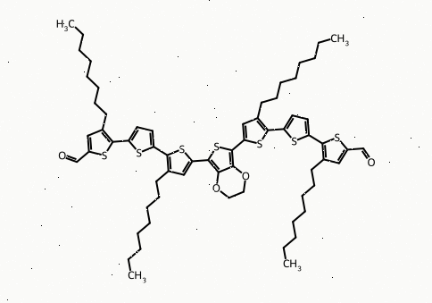 CCCCCCCCc1cc(C=O)sc1-c1ccc(-c2sc(-c3sc(-c4cc(CCCCCCCC)c(-c5ccc(-c6sc(C=O)cc6CCCCCCCC)s5)s4)c4c3OCCO4)cc2CCCCCCCC)s1